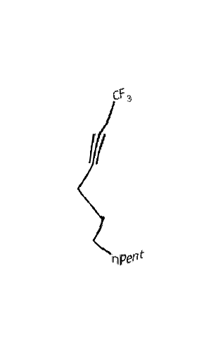 CCCCCCCCC#CC(F)(F)F